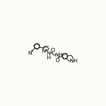 N#Cc1cccc(-c2csc(NC(=O)CNC(=O)c3ccc4c(c3)CNCC4)n2)c1